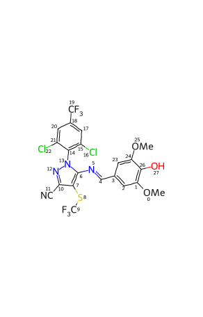 COc1cc(C=Nc2c(SC(F)(F)F)c(C#N)nn2-c2c(Cl)cc(C(F)(F)F)cc2Cl)cc(OC)c1O